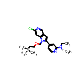 C[Si](C)(C)CCOCn1c(-c2ccnc(N(CC(F)(F)F)C(=O)O)c2)cc2cnc(Cl)cc21